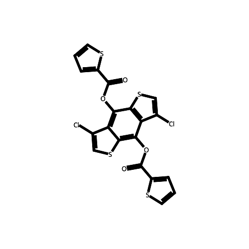 O=C(Oc1c2scc(Cl)c2c(OC(=O)c2cccs2)c2scc(Cl)c12)c1cccs1